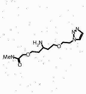 CNC(=O)COCCC(N)CCOCCn1ccnn1